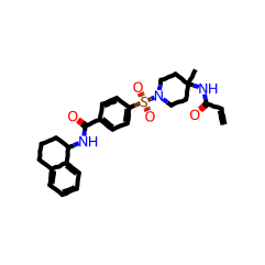 C=CC(=O)NC1(C)CCN(S(=O)(=O)c2ccc(C(=O)NC3CCCc4ccccc43)cc2)CC1